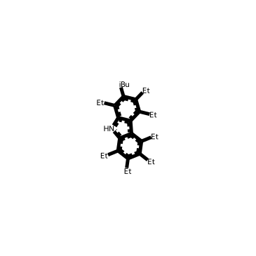 CCc1c(CC)c(CC)c2c([nH]c3c(CC)c(C(C)CC)c(CC)c(CC)c32)c1CC